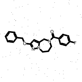 O=C(c1ccc(F)cc1)N1CCCn2nc(OCc3ccccc3)cc2C1